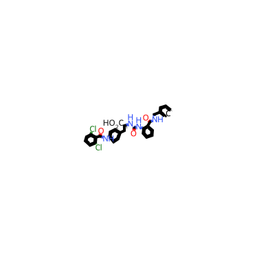 O=C(Nc1ccccc1C(=O)NCc1ccccc1)N[C@@H](Cc1ccc(NC(=O)c2c(Cl)cccc2Cl)cc1)C(=O)O